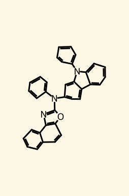 c1ccc(N(c2ccc3c4ccccc4n(-c4ccccc4)c3c2)c2nc3c(ccc4ccccc43)o2)cc1